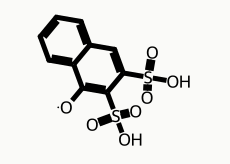 [O]c1c(S(=O)(=O)O)c(S(=O)(=O)O)cc2ccccc12